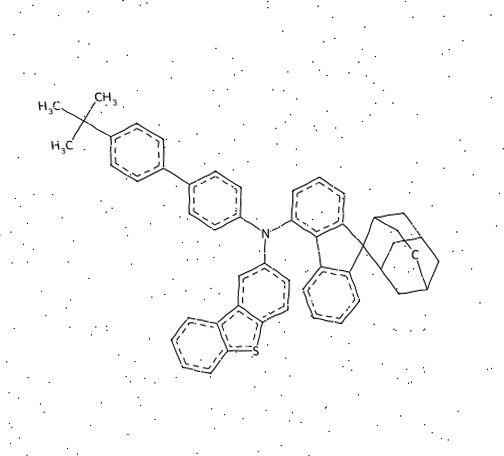 CC(C)(C)c1ccc(-c2ccc(N(c3ccc4sc5ccccc5c4c3)c3cccc4c3-c3ccccc3C43C4CCC5CC(C4)CC3C5)cc2)cc1